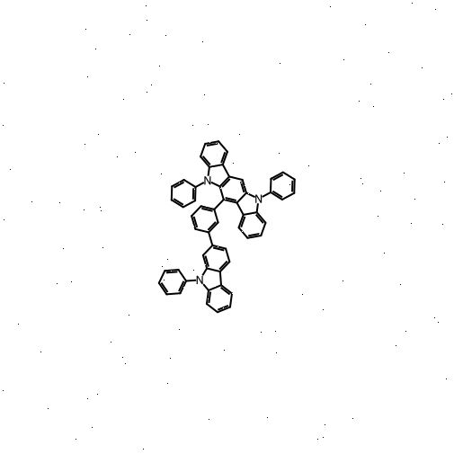 c1ccc(-n2c3ccccc3c3ccc(-c4cccc(-c5c6c7ccccc7n(-c7ccccc7)c6cc6c7ccccc7n(-c7ccccc7)c56)c4)cc32)cc1